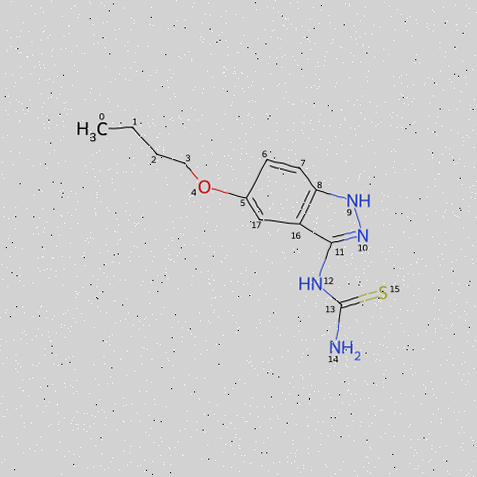 CCCCOc1ccc2[nH]nc(NC(N)=S)c2c1